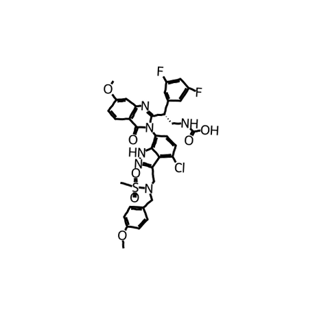 COc1ccc(CN(Cc2n[nH]c3c(-n4c([C@@H](CNC(=O)O)c5cc(F)cc(F)c5)nc5cc(OC)ccc5c4=O)ccc(Cl)c23)S(C)(=O)=O)cc1